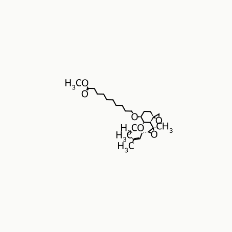 COC(=O)CCCCCCCCCO[C@H]1CC[C@]2(CO2)[C@@H]([C@@]2(C)O[C@@H]2CC=C(C)C)[C@@H]1OC